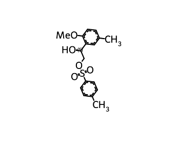 COc1ccc(C)cc1[C@H](O)COS(=O)(=O)c1ccc(C)cc1